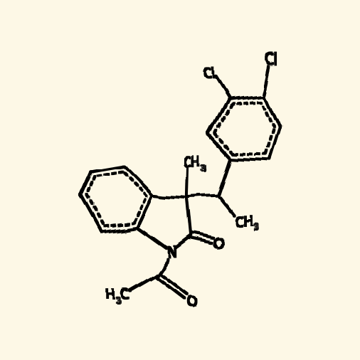 CC(=O)N1C(=O)C(C)(C(C)c2ccc(Cl)c(Cl)c2)c2ccccc21